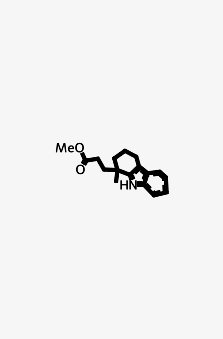 COC(=O)CCC1(C)CCCc2c1[nH]c1ccccc21